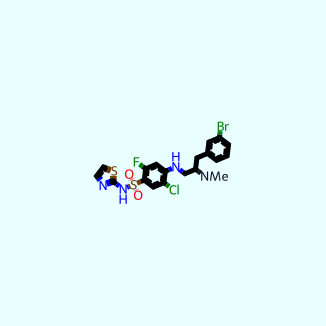 CNC(CNc1cc(F)c(S(=O)(=O)Nc2nccs2)cc1Cl)Cc1cccc(Br)c1